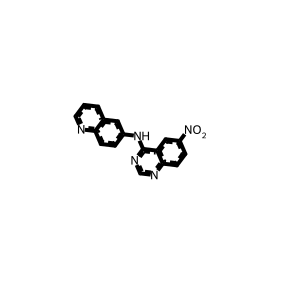 O=[N+]([O-])c1ccc2ncnc(Nc3ccc4ncccc4c3)c2c1